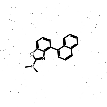 CN(C)c1nc2c(-c3cccc4ccccc34)cccc2o1